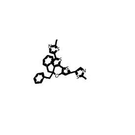 Cc1ncc(-c2cc3c(s2)-c2sc(-c4cnc(C)s4)cc2C(Cc2ccccc2)(Cc2ccccc2)O3)s1